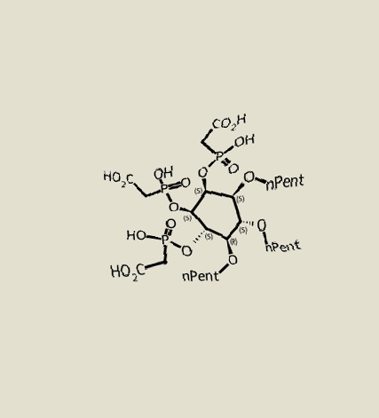 CCCCCO[C@@H]1[C@@H](OCCCCC)[C@H](OP(=O)(O)CC(=O)O)[C@@H](OP(=O)(O)CC(=O)O)[C@@H](OP(=O)(O)CC(=O)O)[C@H]1OCCCCC